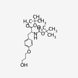 CC(C)(C)OC(=O)NC(Cc1ccc(OCCCO)cc1)C(=O)OC(C)(C)C